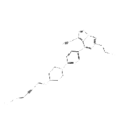 CCOc1cc(-c2ccc(N3CCC(NCC#CCOC)CC3)nc2)c2c(C#N)cnn2c1